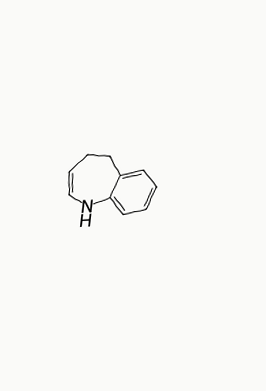 C1=CNc2ccccc2CC1